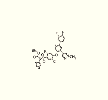 Cn1cc(-c2cc(-c3ccc(F)c(F)c3)ncc2Oc2cc(F)c(S(=O)(=O)N(C(=O)OC(C)(C)C)c3cscn3)cc2Cl)cn1